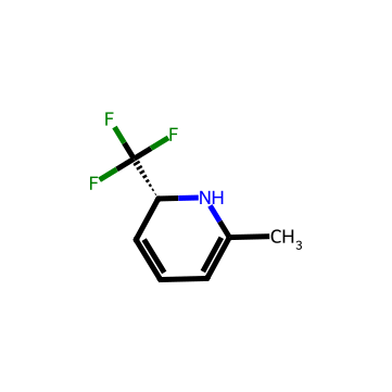 CC1=CC=C[C@H](C(F)(F)F)N1